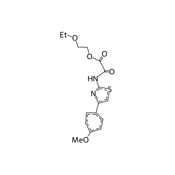 CCOCCOC(=O)C(=O)Nc1nc(-c2ccc(OC)cc2)cs1